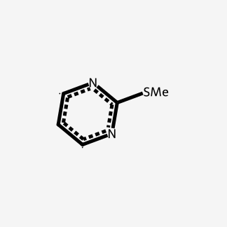 CSc1n[c]c[c]n1